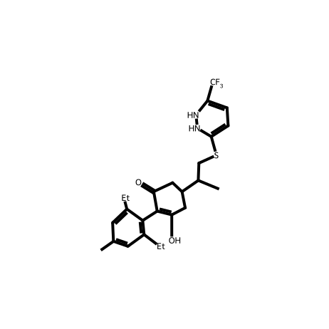 CCc1cc(C)cc(CC)c1C1=C(O)CC(C(C)CSC2=CC=C(C(F)(F)F)NN2)CC1=O